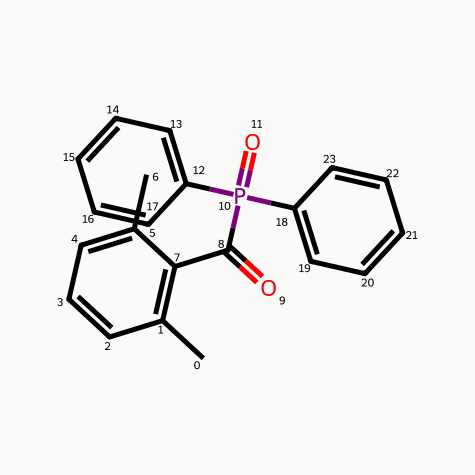 Cc1cccc(C)c1C(=O)P(=O)(c1ccccc1)c1ccccc1